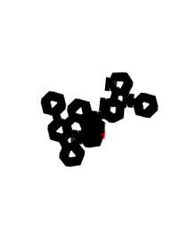 c1ccc(-c2ccc3c4ccccc4n(-c4ccccc4)c3c2-c2cccc3c2c2ccccc2n3-c2ccc3c(n2)c2ncccc2n3-c2ccccc2)cc1